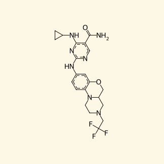 NC(=O)c1cnc(Nc2ccc3c(c2)OCC2CN(CC(F)(F)F)CCN32)nc1NC1CC1